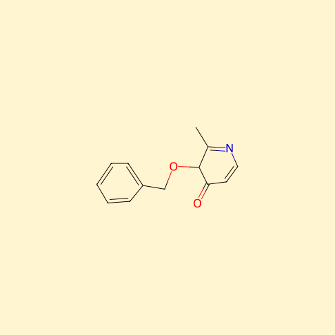 CC1=NC=CC(=O)C1OCc1ccccc1